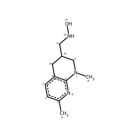 Cc1ccc2c(n1)N(C)CC(CNO)C2